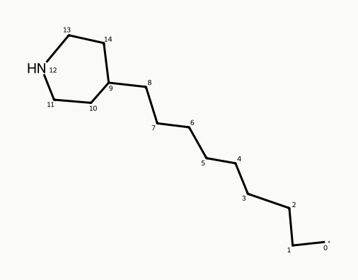 [CH2]CCCCCCCCC1CCNCC1